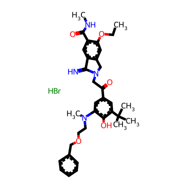 Br.CCOc1cc2c(cc1C(=O)NC)C(=N)N(CC(=O)c1cc(N(C)CCOCc3ccccc3)c(O)c(C(C)(C)C)c1)C2